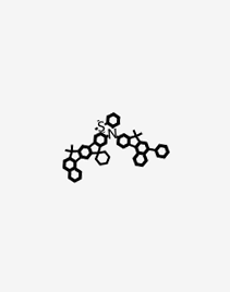 CC1(C)c2cc3c(cc2-c2c1ccc1ccccc21)C1(CCCCC1)c1cc(N(c2ccc4c(c2)C(C)(C)c2cc(-c5ccccc5)c5ccccc5c2-4)c2ccccc2S(C)(C)C)ccc1-3